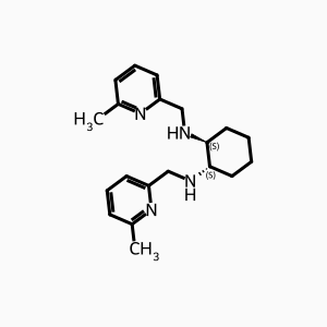 Cc1cccc(CN[C@H]2CCCC[C@@H]2NCc2cccc(C)n2)n1